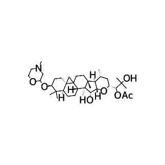 CC(=O)OC([C@H]1C[C@@H](C)[C@H]2[C@H](O1)[C@H](O)[C@@]1(C)[C@@H]3CC[C@H]4C(C)(C)[C@@H](OC5CN(C)CCO5)CC[C@@]45CC35CC[C@]21C)C(C)(C)O